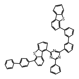 c1ccc(-c2ccc(-c3cccc4c3sc3cccc(-c5nc(-c6ccccc6)nc(-c6cccc(-c7cccc(-c8cccc9c8sc8ccccc89)c7)c6)n5)c34)cc2)cc1